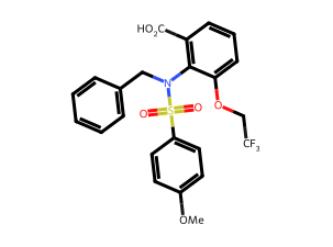 COc1ccc(S(=O)(=O)N(Cc2ccccc2)c2c(OCC(F)(F)F)cccc2C(=O)O)cc1